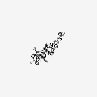 C#C[C@]1(COC(=O)C(C)C)O[C@@H](n2cnc3c(NC(=O)CCCSC(C)=O)nc(F)nc32)C[C@@H]1OC(=O)C(C)C